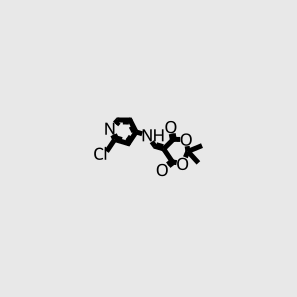 CC1(C)OC(=O)C(=CNc2ccnc(Cl)c2)C(=O)O1